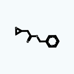 O=C([CH]C1CO1)OCc1ccccc1